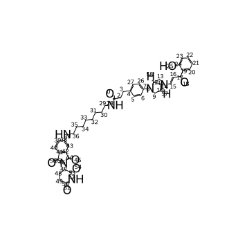 O=C(CCc1ccc(N2C[C@H]3C[C@@H]2CN3/C=C/C(=O)c2ccccc2O)cc1)NCCCCCCCCNc1ccc2c(c1)C(=O)N(C1CCC(=O)NC1=O)C2=O